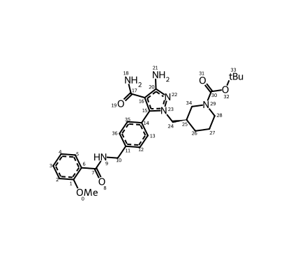 COc1ccccc1C(=O)NCc1ccc(-c2c(C(N)=O)c(N)nn2C[C@@H]2CCCN(C(=O)OC(C)(C)C)C2)cc1